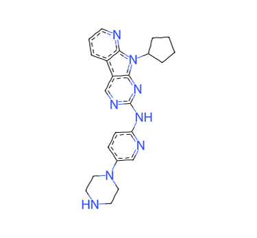 c1cnc2c(c1)c1cnc(Nc3ccc(N4CCNCC4)cn3)nc1n2C1CCCC1